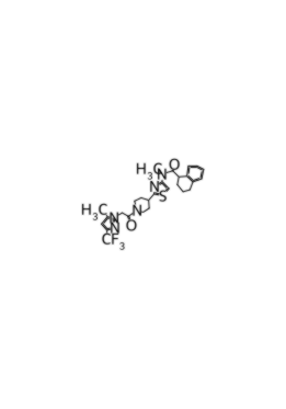 Cc1cc(C(F)(F)F)nn1CC(=O)N1CCC(c2nc(N(C)C(=O)C3CCCc4ccccc43)cs2)CC1